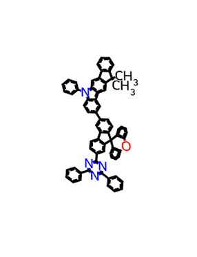 CC1(C)c2ccccc2-c2cc3c(cc21)c1cc(-c2ccc4c(c2)-c2ccc(-c5nc(-c6ccccc6)nc(-c6ccccc6)n5)cc2C42c4ccccc4Oc4ccccc42)ccc1n3-c1ccccc1